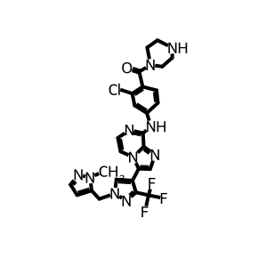 Cn1nccc1Cn1cc(-c2cnc3c(Nc4ccc(C(=O)N5CCNCC5)c(Cl)c4)nccn23)c(C(F)(F)F)n1